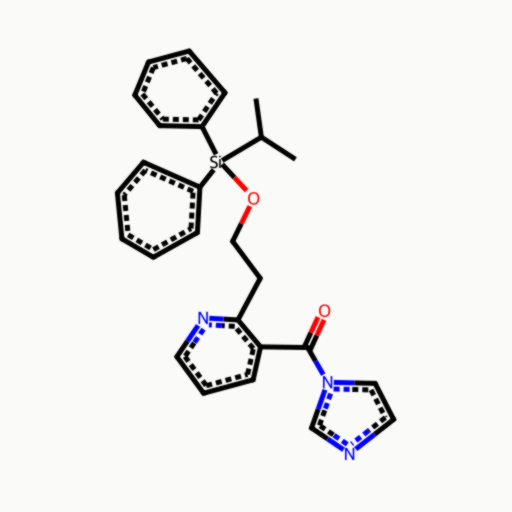 CC(C)[Si](OCCc1ncccc1C(=O)n1ccnc1)(c1ccccc1)c1ccccc1